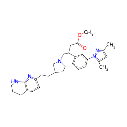 COC(=O)CC(CN1CCC(CCc2ccc3c(n2)NCCC3)C1)c1cccc(-n2nc(C)cc2C)c1